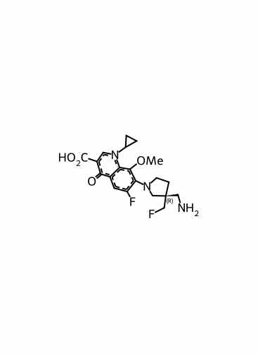 COc1c(N2CC[C@](CN)(CF)C2)c(F)cc2c(=O)c(C(=O)O)cn(C3CC3)c12